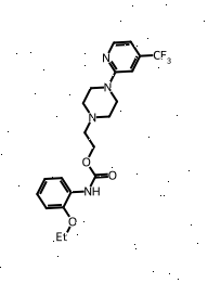 CCOc1ccccc1NC(=O)OCCN1CCN(c2cc(C(F)(F)F)ccn2)CC1